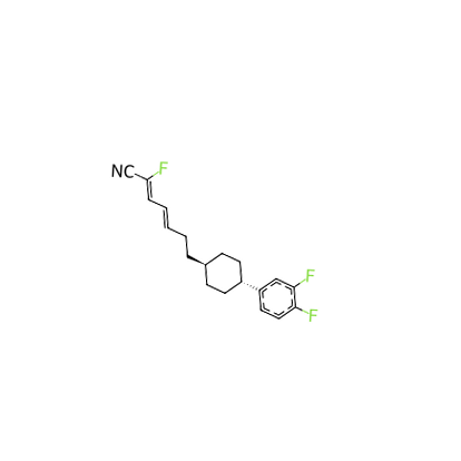 N#C/C(F)=C/C=C/CC[C@H]1CC[C@H](c2ccc(F)c(F)c2)CC1